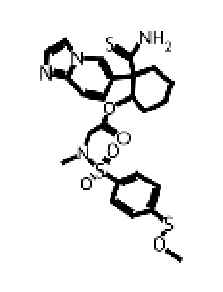 COSc1ccc(S(=O)(=O)N(C)CC(=O)OC2CCCCC2(C(N)=S)c2ccc3nccn3c2)cc1